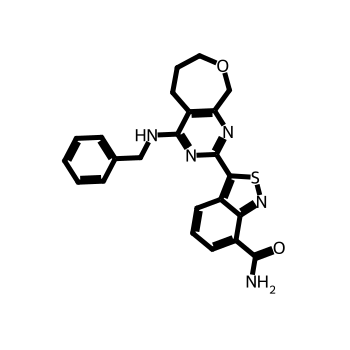 NC(=O)c1cccc2c(-c3nc4c(c(NCc5ccccc5)n3)CCCOC4)snc12